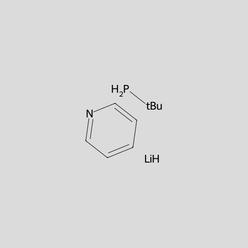 CC(C)(C)P.[LiH].c1ccncc1